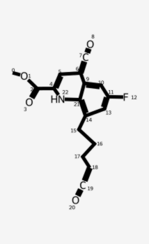 COC(=O)C1=CC(=C=O)c2cc(F)cc(CCCC=C=O)c2N1